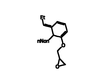 CCC=C1C=CC=C(OCC2CO2)C1CCCCCCCCC